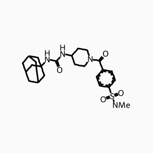 CNS(=O)(=O)c1ccc(C(=O)N2CCC(NC(=O)NC34CC5CC(CC(C5)C3)C4)CC2)cc1